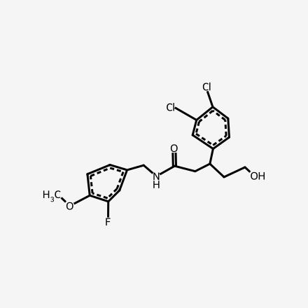 COc1ccc(CNC(=O)CC(CCO)c2ccc(Cl)c(Cl)c2)cc1F